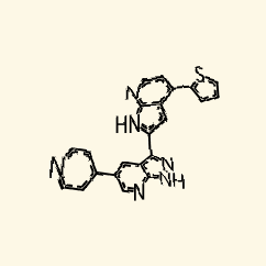 c1csc(-c2ccnc3[nH]c(-c4n[nH]c5ncc(-c6ccncc6)cc45)cc23)c1